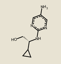 Nc1cnc(N[C@@H](CO)C2CC2)nc1